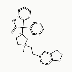 C[N+]1(CCc2ccc3c(c2)CCO3)CC[C@@H](C(C(N)=O)(c2ccccc2)c2ccccc2)C1